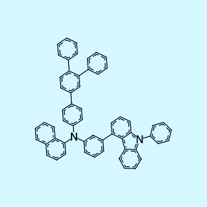 c1ccc(-c2ccc(-c3ccc(N(c4cccc(-c5cccc6c5c5ccccc5n6-c5ccccc5)c4)c4cccc5ccccc45)cc3)cc2-c2ccccc2)cc1